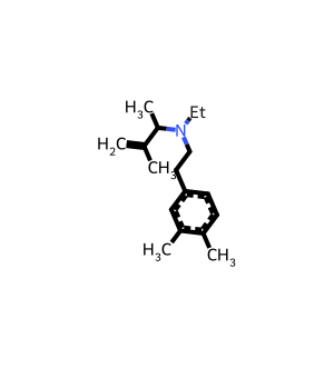 C=C(C)C(C)N(CC)CCc1ccc(C)c(C)c1